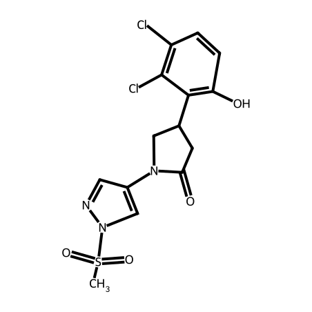 CS(=O)(=O)n1cc(N2CC(c3c(O)ccc(Cl)c3Cl)CC2=O)cn1